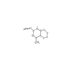 CCCCCC1OC(C)C2CCCCC2O1